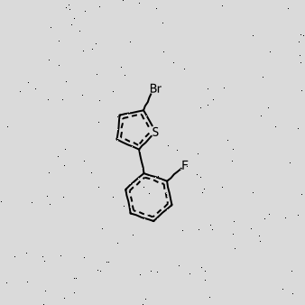 Fc1ccccc1-c1ccc(Br)s1